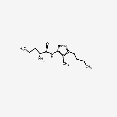 CCCCc1ncc(NC(=O)[C@@H](N)CCC)n1C